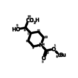 CC(C)(C)OC(=O)N1CCC(C(O)C(=O)O)CC1